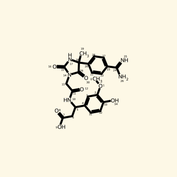 COc1cc(C(CC(=O)O)NC(=O)CN2C(=O)NC(C)(c3ccc(C(=N)N)cc3)C2=O)ccc1O